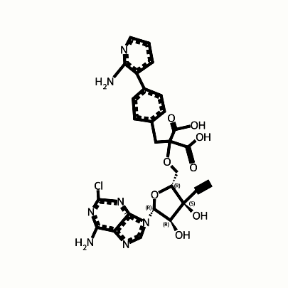 C#C[C@@]1(O)[C@@H](COC(Cc2ccc(-c3cccnc3N)cc2)(C(=O)O)C(=O)O)O[C@@H](n2cnc3c(N)nc(Cl)nc32)[C@@H]1O